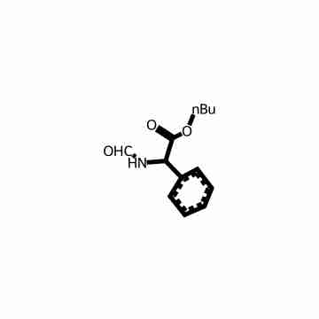 CCCCOC(=O)C(NC=O)c1ccccc1